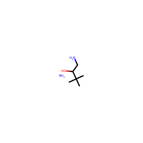 CC(C)(C)C(O)CN.N